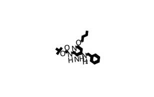 CCCCOc1cc(NCc2ccccc2)c(N)c(NC(=O)OC(C)(C)C)n1